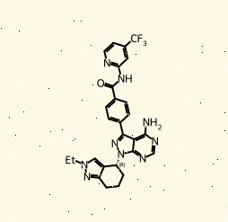 CCn1cc2c(n1)CCC[C@H]2n1nc(-c2ccc(C(=O)Nc3cc(C(F)(F)F)ccn3)cc2)c2c(N)ncnc21